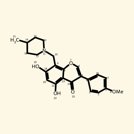 COc1ccc(-c2coc3c(CN4CCC(C)CC4)c(O)cc(O)c3c2=O)cc1